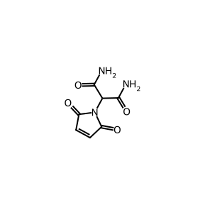 NC(=O)C(C(N)=O)N1C(=O)C=CC1=O